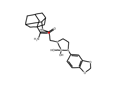 NC(=O)C12CC3CC(C1)C(NC(=O)CN1CCN(c4ccc5c(c4)OCO5)S1(O)O)C(C3)C2